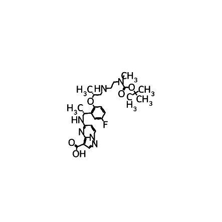 C[C@H](CNCCN(C)C(=O)OC(C)(C)C)Oc1ccc(F)cc1[C@@H](C)Nc1ccn2ncc(C(=O)O)c2n1